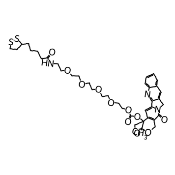 CCC1(OC(=O)OCCOCCOCCOCCOCCNC(=O)CCCCC2CCSS2)C(=O)OCc2c1cc1n(c2=O)Cc2cc3ccccc3nc2-1